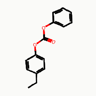 CCc1ccc(OC(=O)Oc2ccccc2)cc1